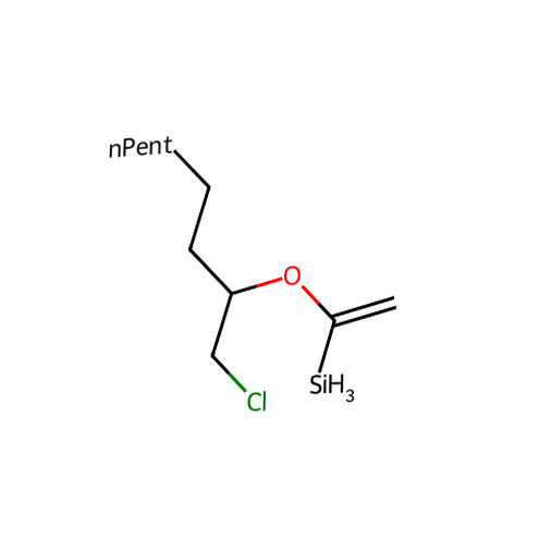 C=C([SiH3])OC(CCl)CCCCCCC